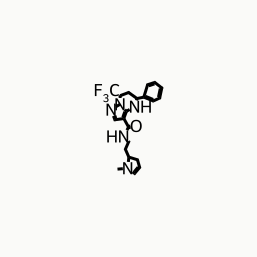 CN1C=CCC1CCNC(=O)c1cnn2c1NC(c1ccccc1)CC2C(F)(F)F